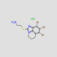 Cl.NCCSc1nc2c(Br)c(Br)c(Br)c3c2n1CCC3